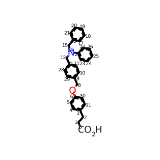 O=C(O)CCc1ccc(OCc2ccc(CN(Cc3ccccc3)c3ccccc3)cc2)cc1